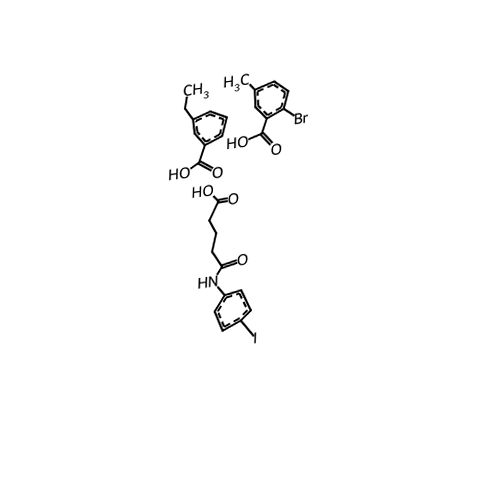 CCc1cccc(C(=O)O)c1.Cc1ccc(Br)c(C(=O)O)c1.O=C(O)CCCC(=O)Nc1ccc(I)cc1